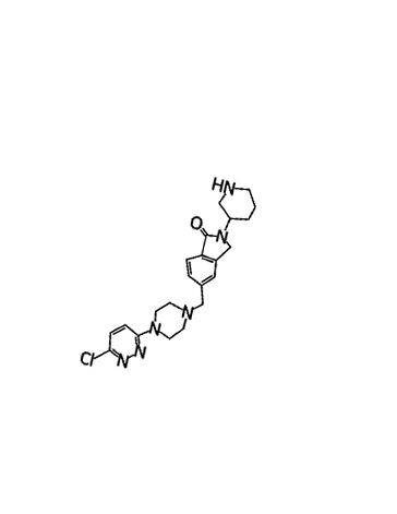 O=C1c2ccc(CN3CCN(c4ccc(Cl)nn4)CC3)cc2CN1C1CCCNC1